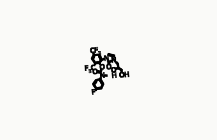 CN(C(=O)Oc1c(-n2ccn(CC(O)CO)c2=O)cc(C(F)(F)F)cc1C(F)(F)F)c1ccc(F)cc1